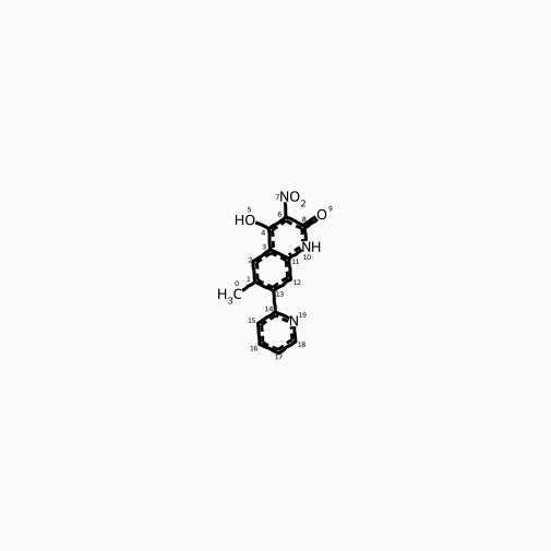 Cc1cc2c(O)c([N+](=O)[O-])c(=O)[nH]c2cc1-c1ccccn1